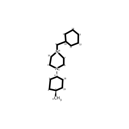 C[C@H]1CC[C@H](N2CCN(CC3CCCCC3)CC2)CC1